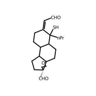 CCCC1(S)/C(=C\C=O)CCC2C1CCC13OCC[C@]1(C=O)CCC23